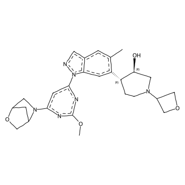 COc1nc(N2CC3CC2CO3)cc(-n2ncc3cc(C)c([C@H]4CCN(C5COC5)C[C@@H]4O)cc32)n1